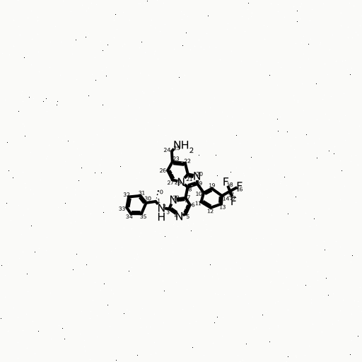 C[C@H](Nc1nccc(-c2c(-c3cccc(C(F)(F)F)c3)nc3cc(CN)ccn23)n1)c1ccccc1